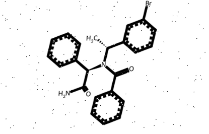 C[C@H](c1cccc(Br)c1)N(C(=O)c1ccccc1)[C@@H](C(N)=O)c1ccccc1